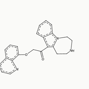 O=C(COc1cccc2cccnc12)c1c2n(c3ccccc13)CCNCC2